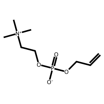 C=CCOP(=O)([O-])OCC[N+](C)(C)C